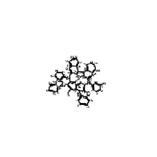 Cc1cccc(N(c2cccc3c2oc2ccccc23)c2cc3ccccc3c3c2sc2c(N(c4cccc(C)c4)c4cccc5c4oc4ccccc45)cc4ccccc4c23)c1